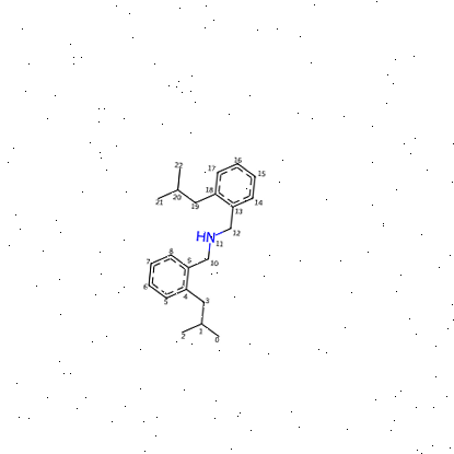 CC(C)Cc1ccccc1CNCc1ccccc1CC(C)C